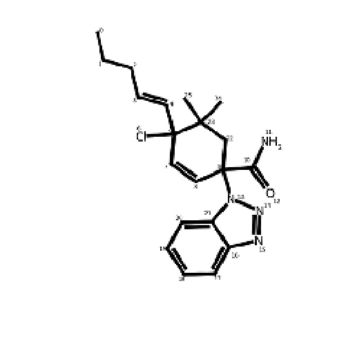 CCCC=CC1(Cl)C=CC(C(N)=O)(n2nnc3ccccc32)CC1(C)C